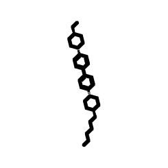 CCCCCC[C@H]1CC[C@H](c2ccc(-c3ccc([C@H]4CC[C@H](CC)CC4)cc3)cc2)CC1